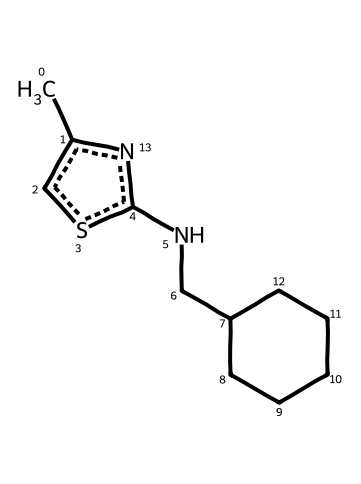 Cc1csc(NCC2CCCCC2)n1